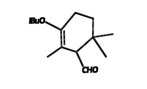 CC1=C(OCC(C)C)CCC(C)(C)C1C=O